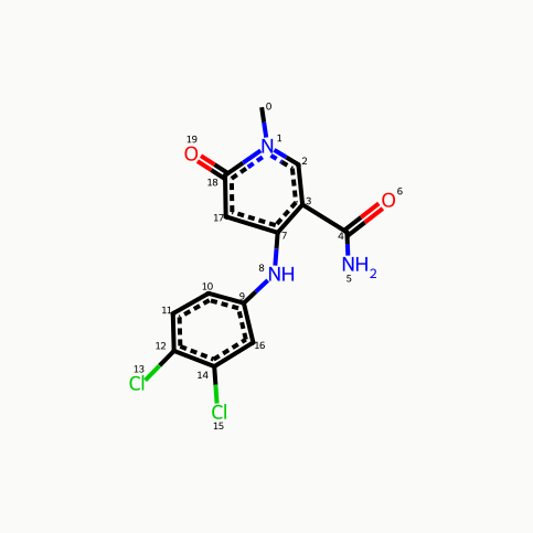 Cn1cc(C(N)=O)c(Nc2ccc(Cl)c(Cl)c2)cc1=O